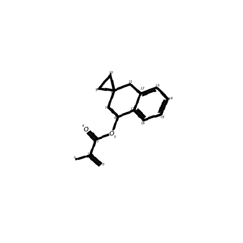 C=C(C)C(=O)OC1CC2(CC2)Cc2ccccc21